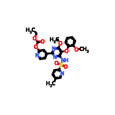 CCOC(=O)Oc1cc(-c2nc(NS(=O)(=O)c3ccc(C)cn3)c(Oc3ccccc3OC)c(OC)n2)ccn1